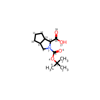 CC(C)(C)OC(=O)N1CC2CCCC2C1C(=O)O